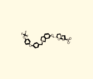 O=[N+]([O-])c1cn2c(n1)O[C@H](COc1ccc3c(c1)CN(Cc1ccc(Oc4ccc(OC(F)(F)F)cc4)cc1)CC3)CC2